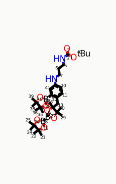 CC(C)(C)OC(=O)NCCCNc1ccc(CC2(C)OB(B3OC(C)(C)C(C)(C)O3)OC2(C)C)c(B2OC(C)(C)C(C)(C)O2)c1